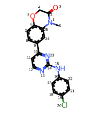 CN1C(=O)COc2ccc(-c3ccnc(Nc4ccc(Cl)cc4)n3)cc21